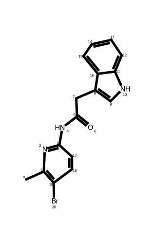 Cc1nc(NC(=O)Cc2c[nH]c3ccccc23)ccc1Br